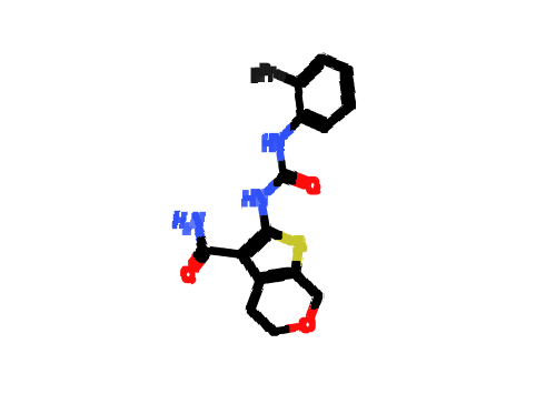 CCCc1ccccc1NC(=O)Nc1sc2c(c1C(N)=O)CCOC2